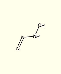 [N]=NNO